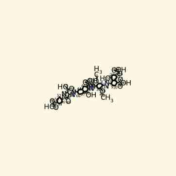 CCOc1cc(/N=N/c2ccc(S(=O)(=O)O)c3cc(S(=O)(=O)O)cc(O)c23)c(OCC)cc1/N=N/c1c(S(=O)(=O)O)cc2cc(/N=N/C3C(=O)N(c4ccc(S(=O)(=O)O)cc4)N=C3C(=O)O)ccc2c1O